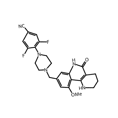 COc1cc(CN2CCN(c3c(F)cc(C#N)cc3F)CC2)cc2[nH]c(=O)c3c(c12)NCCC3